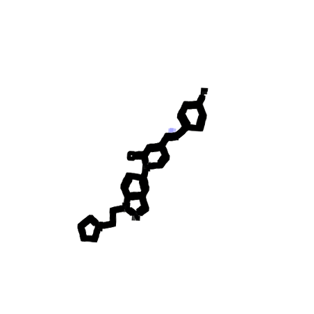 O=c1cc(/C=C/c2ccc(F)cc2)ccn1-c1ccc2c(cnn2CCN2CCCC2)c1